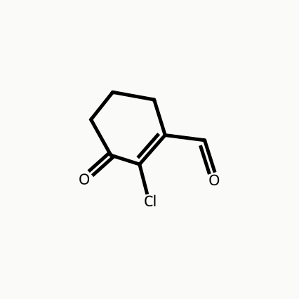 O=CC1=C(Cl)C(=O)CCC1